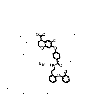 O=C(NCCc1ccccc1Oc1ccccc1Cl)c1ccc(Oc2cc3c(cc2Cl)C(C(=O)[O-])CCO3)cc1.[Na+]